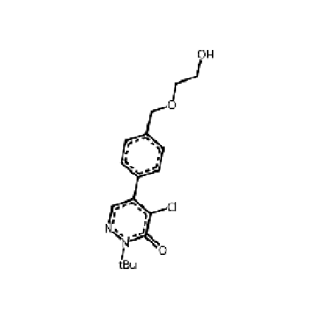 CC(C)(C)n1ncc(-c2ccc(COCCO)cc2)c(Cl)c1=O